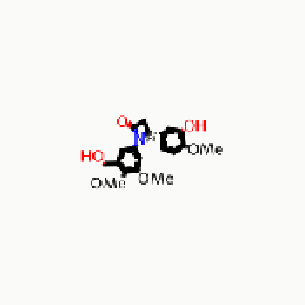 COc1ccc([C@H]2CC(=O)N2c2cc(CO)c(OC)c(OC)c2)cc1O